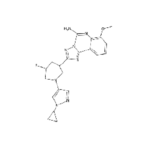 COc1cccc2c1nc(N)n1nc(C3CC(F)CN(c4cnn(C5CC5)c4)C3)nc21